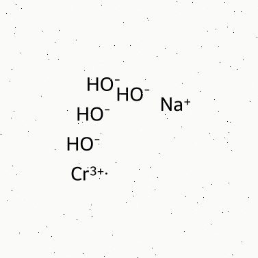 [Cr+3].[Na+].[OH-].[OH-].[OH-].[OH-]